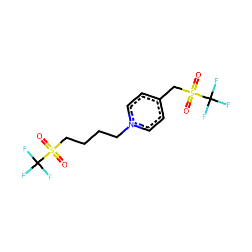 O=S(=O)(CCCC[n+]1ccc(CS(=O)(=O)C(F)(F)F)cc1)C(F)(F)F